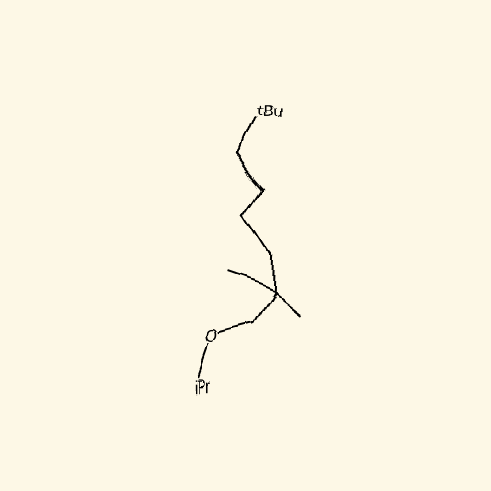 CC(C)OCC(C)(C)CCCCC(C)(C)C